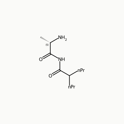 CCCC(CCC)C(=O)NC(=O)[C@H](C)N